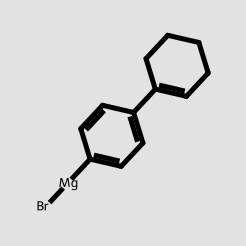 [Br][Mg][c]1ccc(C2=CCCCC2)cc1